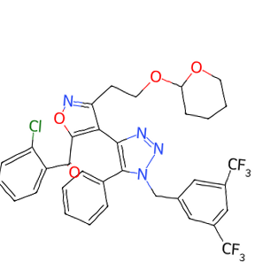 O=C(c1ccccc1Cl)c1onc(CCOC2CCCCO2)c1-c1nnn(Cc2cc(C(F)(F)F)cc(C(F)(F)F)c2)c1-c1ccccc1